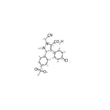 CN1C(c2ccc(S(C)(=O)=O)cc2)C(c2ccc(Cl)cc2)=C(C(=O)O)N1CC#N